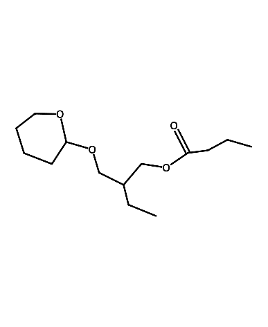 CCCC(=O)OCC(CC)COC1CCCCO1